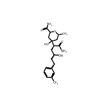 CC1CC(O)(C(CC(O)[CH]Cc2cccc(C(F)(F)F)c2)C(N)=O)CC(C(N)=O)O1